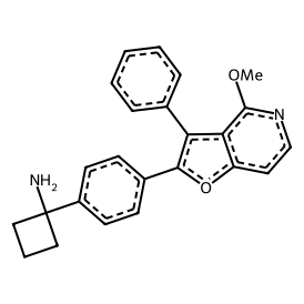 COc1nccc2oc(-c3ccc(C4(N)CCC4)cc3)c(-c3ccccc3)c12